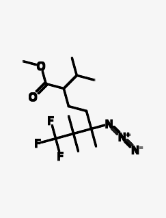 COC(=O)C(CCC(C)(N=[N+]=[N-])C(C)(C)C(F)(F)F)C(C)C